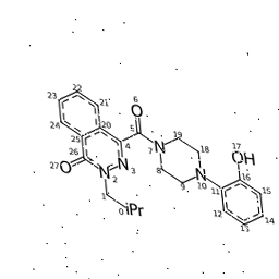 CC(C)Cn1nc(C(=O)N2CCN(c3ccccc3O)CC2)c2ccccc2c1=O